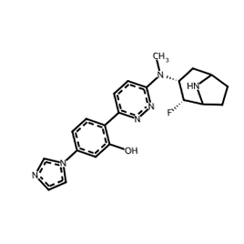 CN(c1ccc(-c2ccc(-n3ccnc3)cc2O)nn1)[C@@H]1CC2CCC(N2)[C@@H]1F